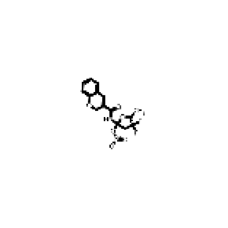 CCOC(CC(F)(F)F)(NC(=O)C1=Cc2ccccc2OC1)O[N+](=O)[O-]